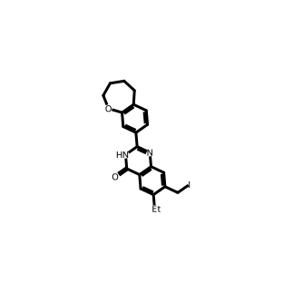 CCc1cc2c(=O)[nH]c(-c3ccc4c(c3)OCCCC4)nc2cc1CI